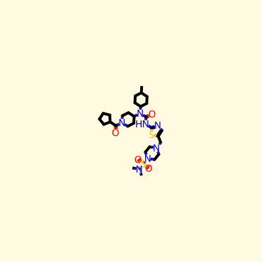 CC1CCC(N(C(=O)Nc2ncc(CN3CCN(S(=O)(=O)N(C)C)CC3)s2)C2CCN(C(=O)C3CCCC3)CC2)CC1